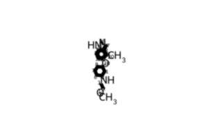 COCCN[C@@H]1CCC[C@H](Oc2ccc3[nH]ncc3c2C)C1